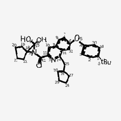 CC(C)(C)c1ccc(Oc2ccc3cc(C(=O)N4C(O)(O)C45CCCC5)nc(CC4CCCC4)c3c2)cc1